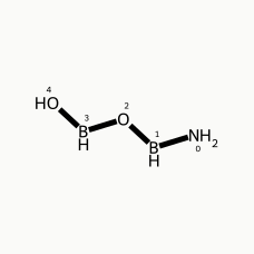 NBOBO